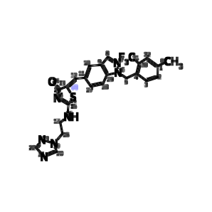 Cc1ccc(Cn2ncc3cc(/C=C4\SC(NCCn5cncn5)=NC4=O)ccc32)c(C(F)(F)F)c1